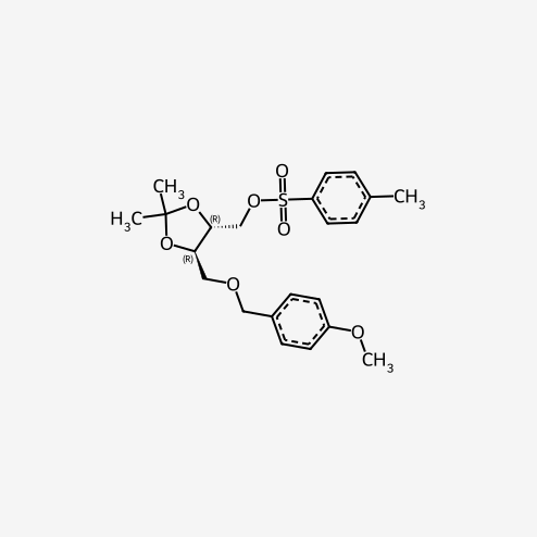 COc1ccc(COC[C@H]2OC(C)(C)O[C@@H]2COS(=O)(=O)c2ccc(C)cc2)cc1